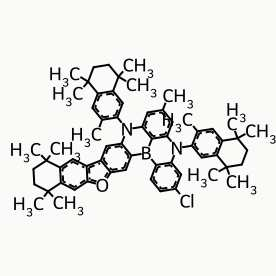 Cc1cc2c3c(c1)N(c1cc4c(cc1C)C(C)(C)CCC4(C)C)c1cc4c(cc1B3c1ccc(Cl)cc1N2c1cc2c(cc1C)C(C)(C)CCC2(C)C)oc1cc2c(cc14)C(C)(C)CCC2(C)C